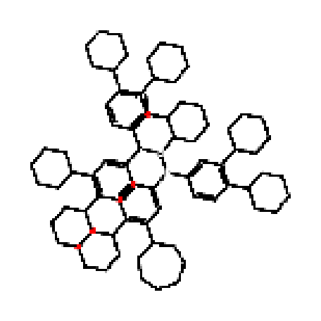 CC(C)C1CCCCC1N(P(c1ccc(C2CCCCC2)c(C2CCCCCC2)c1)c1ccc(C2CCCCC2)c(C2CCCCC2)c1)P(c1ccc(C2CCCCC2)c(C2CCCCC2)c1)c1ccc(C2CCCCC2)c(C2CCCCC2)c1